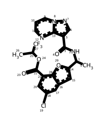 CC(NC(=O)c1cnn2cccnc12)c1cc2cc(Cl)cc(C(=O)OC(C)C(F)(F)F)c2o1